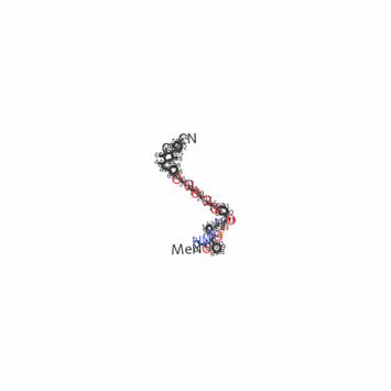 CN[C@@H](C)C(=O)N[C@H](C(=O)N1CCC[C@H]1c1nc(C(=O)c2cccc(OCCOCCOCCOCCOc3cccc(CC(C)C4CC(C)=C(c5ccc(C#N)cc5)C(C#N)=C4C)c3)c2)cs1)C1CCCCC1